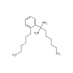 CCCCCCc1ccccc1C(N)(N)CCCCCC